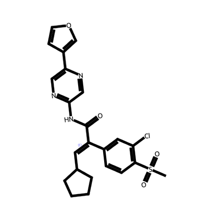 CS(=O)(=O)c1ccc(/C(=C\C2CCCC2)C(=O)Nc2cnc(-c3ccoc3)cn2)cc1Cl